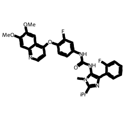 COc1cc2nccc(Oc3ccc(NC(=O)Nc4c(-c5ccccc5F)nc(C(C)C)n4C)cc3F)c2cc1OC